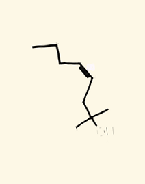 C[CH]C/C=C\CC(C)(C)O